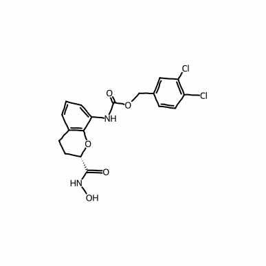 O=C(Nc1cccc2c1O[C@H](C(=O)NO)CC2)OCc1ccc(Cl)c(Cl)c1